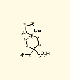 O=C(O)C1(CF)CCC2(CC1)OCCO2